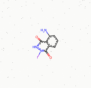 Nc1cccc2c(=O)n(I)[nH]c(=O)c12